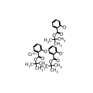 CC(C)(C)OC(=O)c1ccccc1[O-].CC(C)(C)OC(=O)c1ccccc1[O-].CC(C)(C)OC(=O)c1ccccc1[O-].[Cr+3]